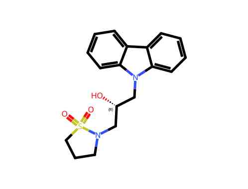 O=S1(=O)CCCN1C[C@H](O)Cn1c2ccccc2c2ccccc21